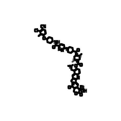 CC[C@@]1(O)C(=O)OCc2c1cc1n(c2=O)Cc2cc3c(CN(C)C)c(OC(=O)N4C[C@H](C)N(C(=O)C5CCN(c6ccc(C(=O)N[C@H]7CC[C@H](Oc8ccc(C#N)c(Cl)c8C)CC7)nn6)CC5)C[C@H]4C)ccc3nc2-1